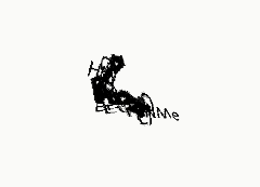 CCc1nc(Cl)c(C(=O)NC)n1Cc1ccc2oc(-c3ccccc3C(=O)NS(=O)(=O)c3ccccc3)c(Br)c2c1